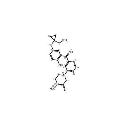 CCC1(Oc2ccc(N)c(C(=N)c3cc(N4CCN(C)C(=O)C4)ncn3)c2)CC1